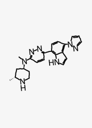 C[C@@H]1C[C@@H](N(C)c2ccc(-c3ccc(-n4cccn4)c4cc[nH]c34)nn2)CCN1